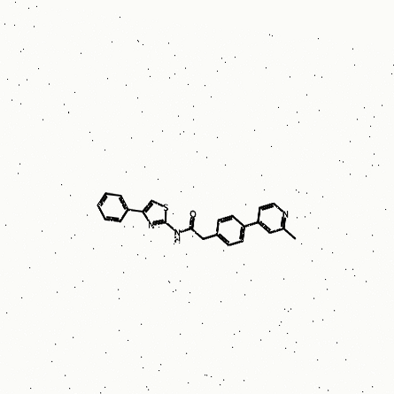 Cc1cc(-c2ccc(CC(=O)Nc3nc(-c4ccccc4)cs3)cc2)ccn1